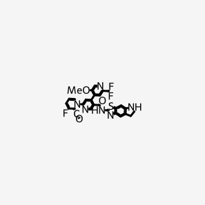 COc1cnc(C(F)F)cc1-c1cc(N2C=CC=C(F)C2=C=O)ncc1C(=O)Nc1nc2cc3c(cc2s1)NCC3